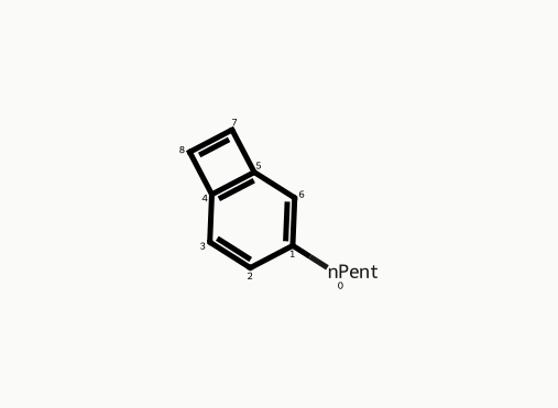 CCCCCc1ccc2c(c1)C=C2